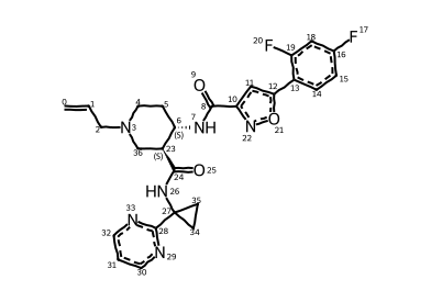 C=CCN1CC[C@H](NC(=O)c2cc(-c3ccc(F)cc3F)on2)[C@@H](C(=O)NC2(c3ncccn3)CC2)C1